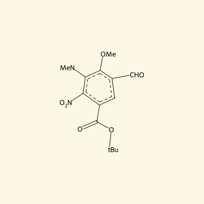 CNc1c(OC)c(C=O)cc(C(=O)OC(C)(C)C)c1[N+](=O)[O-]